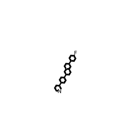 Fc1ccc(-c2ccc3cc(-c4ccc(-c5cccnc5)cc4)ccc3c2)cc1